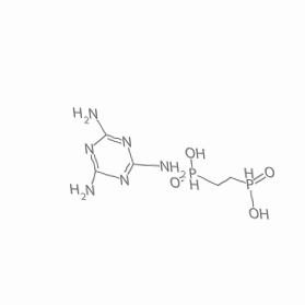 Nc1nc(N)nc(N)n1.O=[PH](O)CC[PH](=O)O